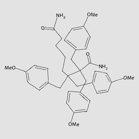 COc1ccc(CC(CCCCC(N)=O)(Cc2ccc(OC)cc2)C(Cc2ccc(OC)cc2)(Cc2ccc(OC)cc2)C(N)=O)cc1